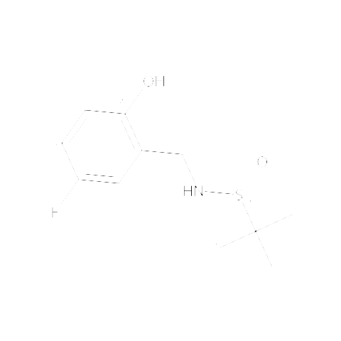 CC(C)(C)[S@@+]([O-])NCc1cc(F)ccc1O